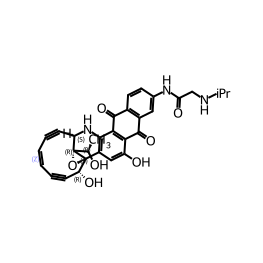 CC(C)NCC(=O)Nc1ccc2c(c1)C(=O)c1c(O)cc3c(c1C2=O)N[C@H]1C#C/C=C\C#C[C@@H](O)[C@@]32O[C@@]12[C@@H](C)O